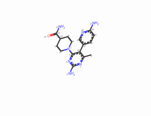 Cc1nc(N)nc(N2CCC(C(N)=O)CC2)c1-c1ccc(N)nc1